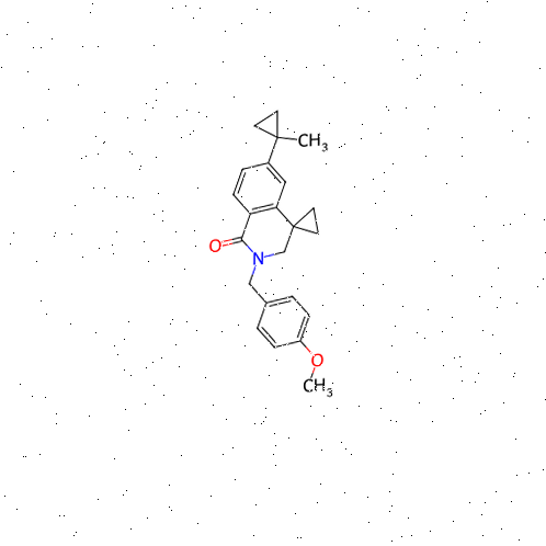 COc1ccc(CN2CC3(CC3)c3cc(C4(C)CC4)ccc3C2=O)cc1